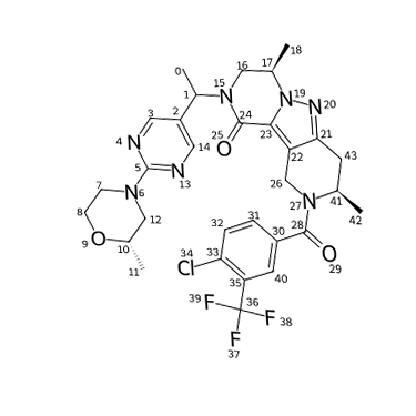 CC(c1cnc(N2CCO[C@@H](C)C2)nc1)N1C[C@@H](C)n2nc3c(c2C1=O)CN(C(=O)c1ccc(Cl)c(C(F)(F)F)c1)[C@H](C)C3